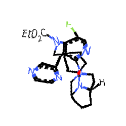 CCOC(=O)N1CC2(CCC(N3C4CC[C@H]3CN(c3ncc(F)cc3-c3cnccn3)C4)C2)C1